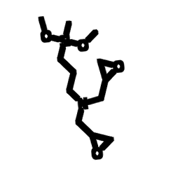 CO[Si](C)(CCCN(CC1CO1)CC1CO1)OC